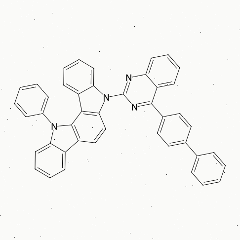 c1ccc(-c2ccc(-c3nc(-n4c5ccccc5c5c4ccc4c6ccccc6n(-c6ccccc6)c45)nc4ccccc34)cc2)cc1